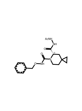 CC(=O)NNC(=O)[C@@H]1CC2(CCN1C(=O)NOCc1ccccc1)CC2